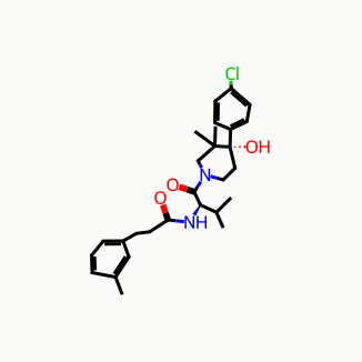 Cc1cccc(CCC(=O)N[C@@H](C(=O)N2CC[C@](O)(c3ccc(Cl)cc3)C(C)(C)C2)C(C)C)c1